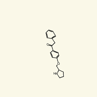 O=C(Cc1ccccc1)c1ccc(OCC2CCCN2)cc1